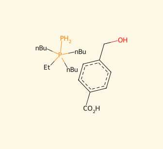 CCCCP(P)(CC)(CCCC)CCCC.O=C(O)c1ccc(CO)cc1